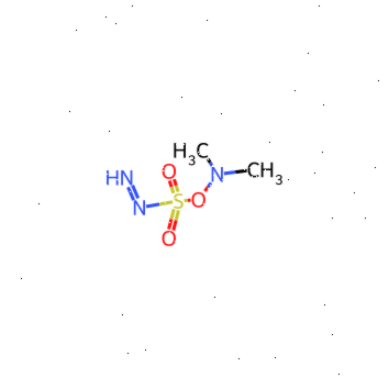 CN(C)OS(=O)(=O)N=N